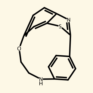 c1cc2ccc1NCCOc1ccc3nc-2sc3c1